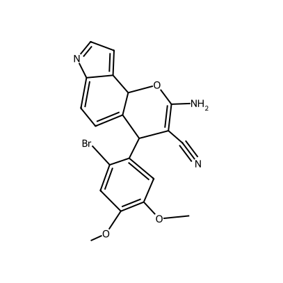 COc1cc(Br)c(C2C3=CC=C4N=CC=C4C3OC(N)=C2C#N)cc1OC